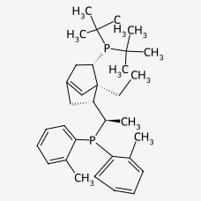 CC[C@]12C=C(C[C@@H]1P(C(C)(C)C)C(C)(C)C)C[C@H]2[C@@H](C)P(c1ccccc1C)c1ccccc1C